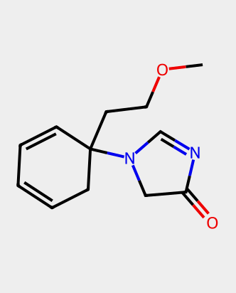 COCCC1(N2C=NC(=O)C2)C=CC=CC1